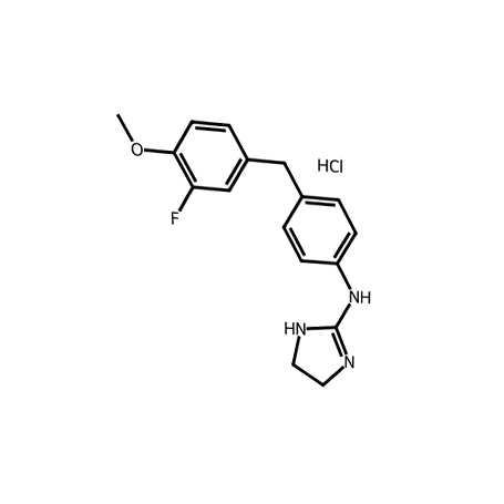 COc1ccc(Cc2ccc(NC3=NCCN3)cc2)cc1F.Cl